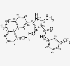 Cc1cccc(C)c1-c1cc(-c2[nH]c(C)c(C(=O)Nc3cccc(C(F)(F)F)c3)[n+]2O)ccc1F